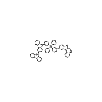 c1ccc([Si](c2ccccc2)(c2cccc(-c3ccc4nc5n(c4c3)-c3ccccc3SC5)c2)c2cccc(-n3c4ccccc4c4cc(-n5c6ccccc6c6ccccc65)ccc43)c2)cc1